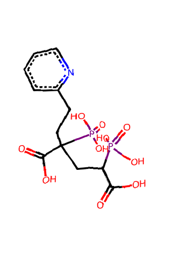 O=C(O)C(CC(CCc1ccccn1)(C(=O)O)P(=O)(O)O)P(=O)(O)O